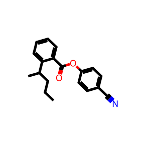 CCCC(C)c1ccccc1C(=O)Oc1ccc(C#N)cc1